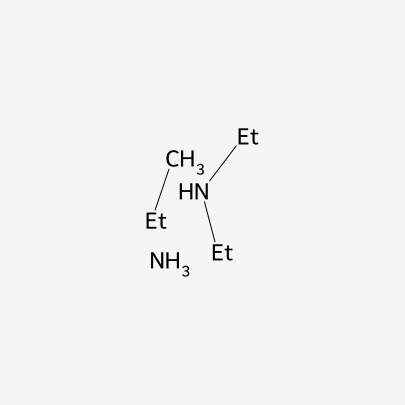 CCC.CCNCC.N